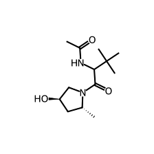 CC(=O)NC(C(=O)N1C[C@H](O)C[C@H]1C)C(C)(C)C